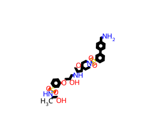 C[C@H](CO)NS(=O)(=O)c1cccc(OC[C@@H](O)CN[C@@H]2COC3(CCN(S(=O)(=O)c4cccc(-c5ccc(CN)cc5)c4)CC3)C2)c1